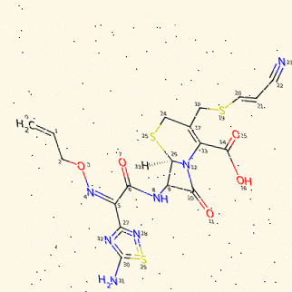 C=CCO/N=C(\C(=O)NC1C(=O)N2C(C(=O)O)=C(CS/C=C/C#N)CS[C@H]12)c1nsc(N)n1